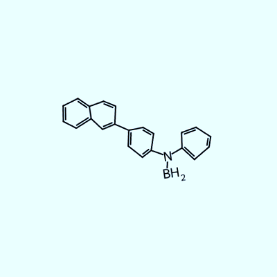 BN(c1ccccc1)c1ccc(-c2ccc3ccccc3c2)cc1